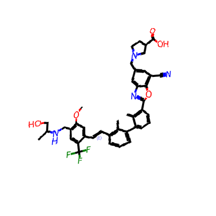 COc1cc(/C=C/c2cccc(-c3cccc(-c4nc5cc(CN6CCC(C(=O)O)C6)cc(C#N)c5o4)c3C)c2C)c(C(F)(F)F)cc1CNC(C)CO